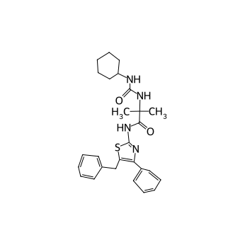 CC(C)(NC(=O)NC1CCCCC1)C(=O)Nc1nc(-c2ccccc2)c(Cc2ccccc2)s1